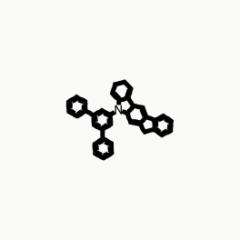 C1=C2Cc3ccccc3C2=CC2C3=CCCC=C3N(c3cc(-c4ccccc4)cc(-c4ccccc4)c3)C12